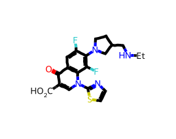 CCNCC1CCN(c2c(F)cc3c(=O)c(C(=O)O)cn(-c4nccs4)c3c2F)C1